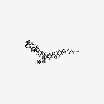 CCCCCCCOc1ccc(C(=O)Oc2ccc(CN(CC(=O)O)C(O)c3ccc(NC(=O)c4ccc(S(C)(=O)=O)cc4)cc3)cc2)cc1